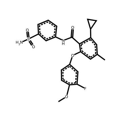 COc1ccc(Oc2cc(C)cc(C3CC3)c2C(=O)Nc2cccc(S(N)(=O)=O)c2)cc1F